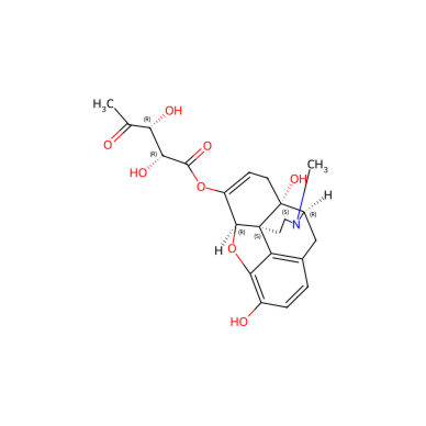 CC(=O)[C@H](O)[C@@H](O)C(=O)OC1=CC[C@@]2(O)[C@H]3Cc4ccc(O)c5c4[C@@]2(CCN3C)[C@H]1O5